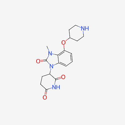 Cn1c(=O)n(C2CCC(=O)NC2=O)c2cccc(OC3CCNCC3)c21